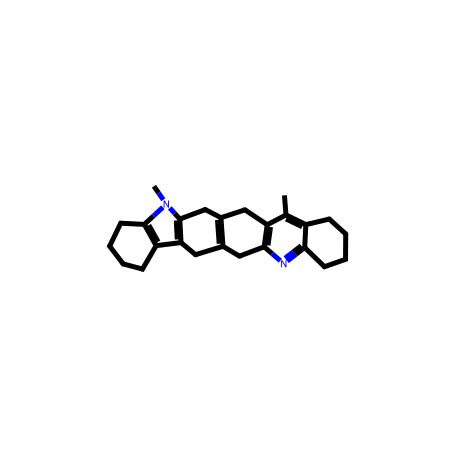 Cc1c2c(nc3c1CC1=C(C3)Cc3c4c(n(C)c3C1)CCCC4)CCCC2